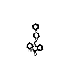 O=C1NC2(CCCCC2)N(CCN2CCN(c3ccccc3)CC2)c2ccccc21